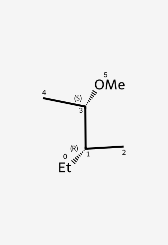 CC[C@@H](C)[C@H](C)OC